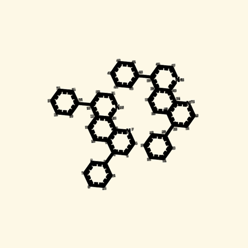 c1ccc(-c2ccnc3c2ccc2c(-c4ccccc4)ccnc23)cc1.c1ccc(-c2ccnc3c2ccc2c(-c4ccccc4)ccnc23)cc1